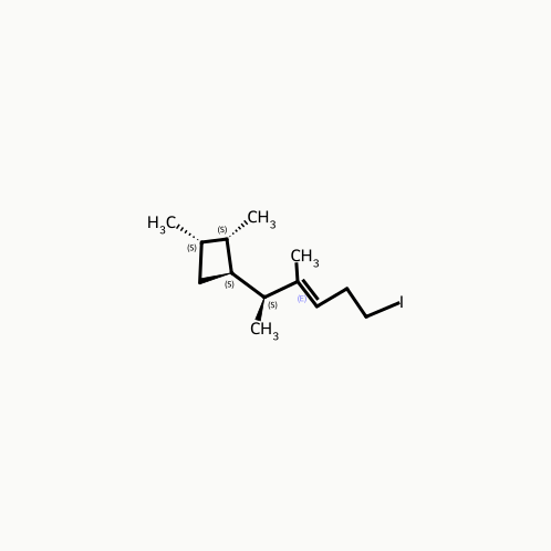 C/C(=C\CCI)[C@@H](C)[C@H]1C[C@H](C)[C@@H]1C